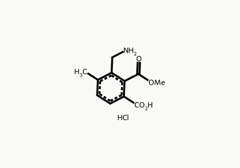 COC(=O)c1c(C(=O)O)ccc(C)c1CN.Cl